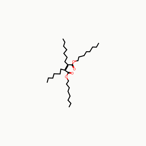 CCCCCCCCOC(=O)/C(CCCCCC)=C(/CCCCCCC)C(=O)OCCCCCCCC